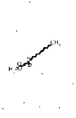 CCCCCCCCCCCCOC(=O)C=CC(=O)OC